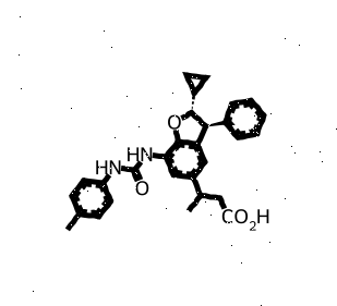 Cc1ccc(NC(=O)Nc2cc(C(C)CC(=O)O)cc3c2O[C@H](C2CC2)[C@H]3c2ccccc2)cc1